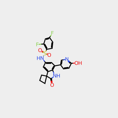 O=C1Nc2c(-c3ccc(O)nc3)cc(NS(=O)(=O)c3ccc(F)cc3F)cc2C12CCC2